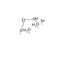 O.O.[O-][Cl+]O.[Zn]